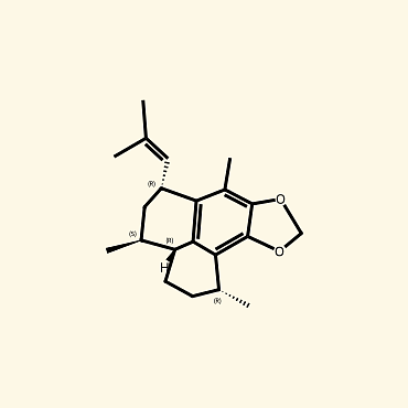 CC(C)=C[C@H]1C[C@H](C)[C@H]2CC[C@@H](C)c3c4c(c(C)c1c32)OCO4